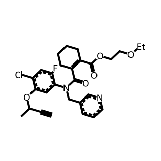 C#CC(C)Oc1cc(N(Cc2cccnc2)C(=O)C2=C(C(=O)OCCOCC)CCCC2)c(F)cc1Cl